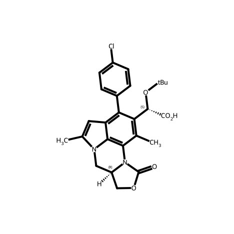 Cc1c([C@H](OC(C)(C)C)C(=O)O)c(-c2ccc(Cl)cc2)c2cc(C)n3c2c1N1C(=O)OC[C@H]1C3